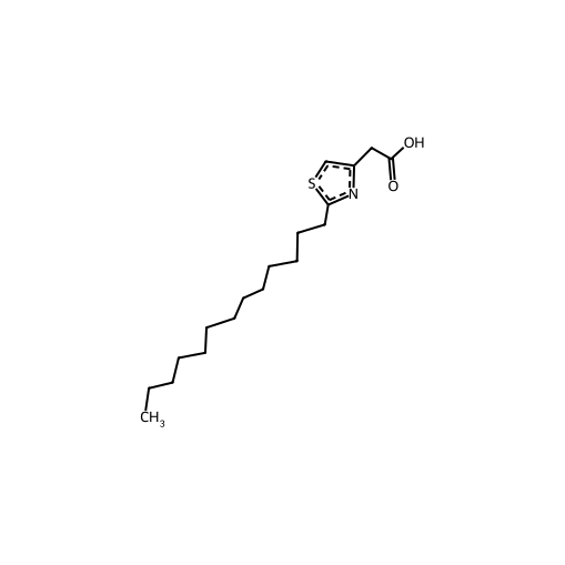 CCCCCCCCCCCCCc1nc(CC(=O)O)cs1